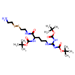 CC(C)(C)OC(=O)/N=C(/NCCCC(NC(=O)OC(C)(C)C)C(=O)NCCSSCCN)NC(=O)OC(C)(C)C